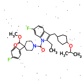 CCc1c(CC2CCC(OC(C)C)CC2)c2ccc(F)cc2n1C(=O)N1CCC(C(=O)OC)(c2ccc(F)cc2)CC1